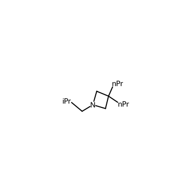 CCCC1(CCC)CN(CC(C)C)C1